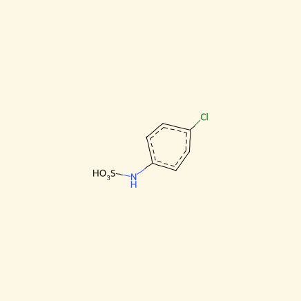 O=S(=O)(O)Nc1ccc(Cl)cc1